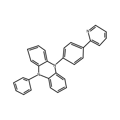 c1ccc(N2c3ccccc3N(c3ccc(-c4ccccn4)cc3)c3ccccc32)cc1